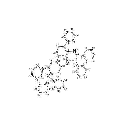 c1ccc(-c2nc3c(-c4ccccc4)ccc(-c4ccc5c(c4)-c4ccccc4C5(c4ccccc4)c4ccccc4)c3nc2-c2ccccc2)cc1